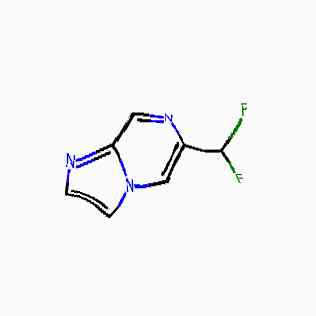 FC(F)c1cn2ccnc2cn1